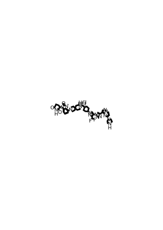 Cl.Cl.Cn1c(=O)n(C2CCC(=O)NC2=O)c2cccc(N3CCC4(CCN(CC5CCC(n6cc(-n7cc(-c8cnn9ccc(N%10CCNCC%10)nc89)nn7)c(C(F)F)n6)CC5)CC4)CC3)c21